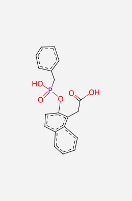 O=C(O)Cc1c(OP(=O)(O)Cc2ccccc2)ccc2ccccc12